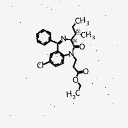 CCOC(=O)CCN1C(=O)[C@H]([C@@H](C)CC)N=C(c2ccccc2)c2cc(Cl)ccc21